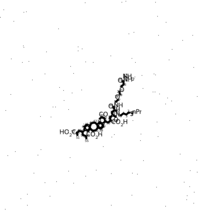 CCCSCCCCNC(=O)C(CC(C)C(=O)NCCOCCOCCC(=O)NN)CC(CC(CC(C)C(=O)O)c1ccc2c(c1)CCc1ccc(C(CC(C)C(=O)O)CC(C)C(=O)O)cc1CC2)C(=O)O